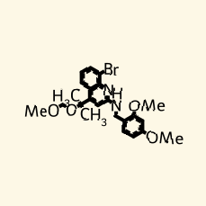 COCOC(C)(C)c1cc(NCc2ccc(OC)cc2OC)nc2c(Br)cccc12